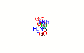 Cl.NC(c1cc(O[C@H]2CCOC2)ccc1F)C(F)CC1C(=O)NC(=O)N(C2CCOCC2)C1=O